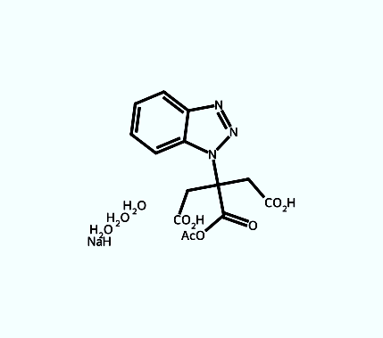 CC(=O)OC(=O)C(CC(=O)O)(CC(=O)O)n1nnc2ccccc21.O.O.O.[NaH]